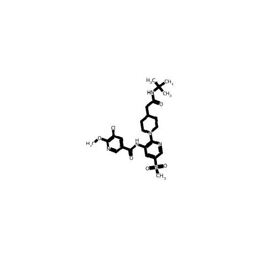 COc1ncc(C(=O)Nc2cc(S(C)(=O)=O)cnc2N2CCC(CC(=O)NC(C)(C)C)CC2)cc1Cl